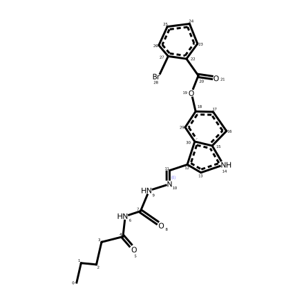 CCCCC(=O)NC(=O)N/N=C/c1c[nH]c2ccc(OC(=O)c3ccccc3Br)cc12